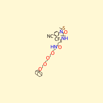 CC(=S)N(C(=O)C(C)(C)NCCCC(=O)NCCOCCOCCOCCOC12CC3CC(CC(C3)C1)C2)c1ccc(C#N)c(C(F)(F)F)c1